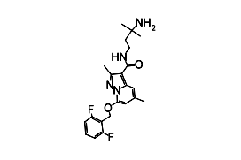 Cc1cc(OCc2c(F)cccc2F)n2nc(C)c(C(=O)NCCC(C)(C)N)c2c1